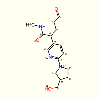 CNC(=O)C(CCC=O)c1ccc(N2CCC(CO)C2)nc1